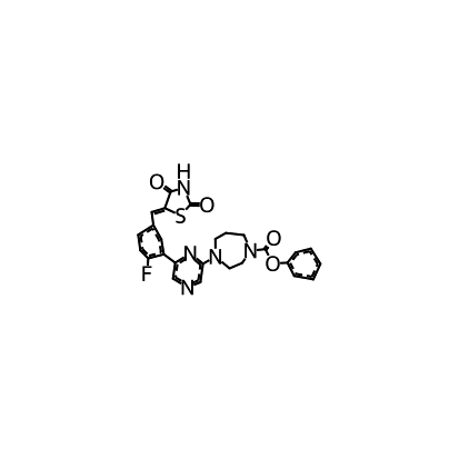 O=C1NC(=O)C(=Cc2ccc(F)c(-c3cncc(N4CCCN(C(=O)Oc5ccccc5)CC4)n3)c2)S1